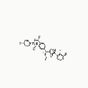 C=C/C=C(/c1ccc(C(F)F)c(C(=O)Nc2ccc(F)cc2)c1)c1cnc(-c2cccc(F)c2F)n1C